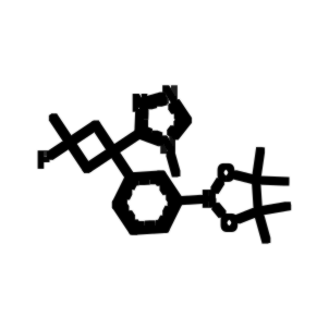 Cn1cnnc1C1(c2cccc(B3OC(C)(C)C(C)(C)O3)c2)CC(C)(F)C1